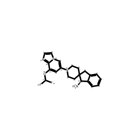 N[C@@H]1c2ccccc2CC12CCN(c1cc(OC(F)F)c3nccn3c1)CC2